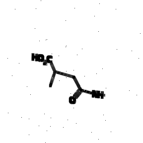 CC(CC([NH])=O)C(=O)O